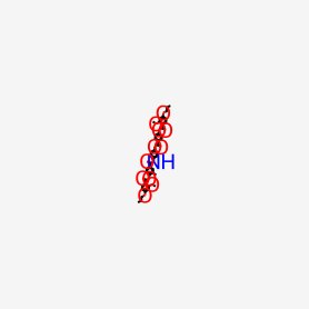 CCCOc1ccc(C(=O)Oc2ccc(C(=O)Oc3ccc(NC(=O)c4ccc(OC(=O)c5ccc(OCCC)cc5OC)c(C)c4)cc3)cc2)c(OC)c1